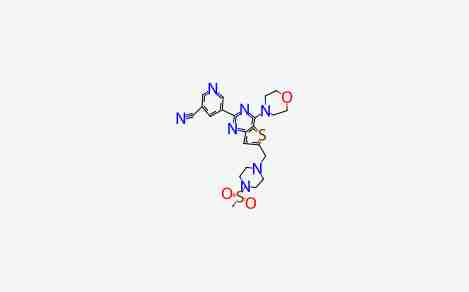 CS(=O)(=O)N1CCN(Cc2cc3nc(-c4cncc(C#N)c4)nc(N4CCOCC4)c3s2)CC1